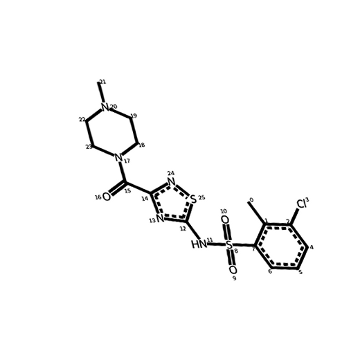 Cc1c(Cl)cccc1S(=O)(=O)Nc1nc(C(=O)N2CCN(C)CC2)ns1